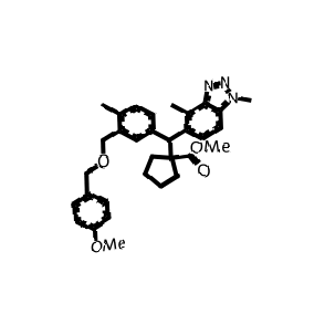 COC(=O)C1(C(c2ccc(C)c(COCc3ccc(OC)cc3)c2)c2ccc3c(nnn3C)c2C)CCCC1